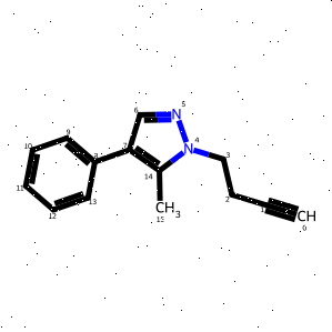 C#CCCn1ncc(-c2ccccc2)c1C